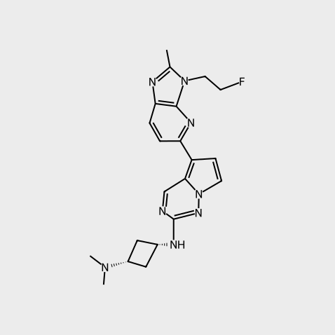 Cc1nc2ccc(-c3ccn4nc(N[C@H]5C[C@@H](N(C)C)C5)ncc34)nc2n1CCF